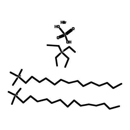 Br.CCCCCCCCCCCCCC[N+](C)(C)C.CCCCCCCCCCCCCC[N+](C)(C)C.CC[N+](CC)(CC)CC.O=S(=O)(O)O